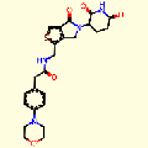 O=C(Cc1ccc(N2CCOCC2)cc1)NCc1scc2c1CN(C1CCC(=O)NC1=O)C2=O